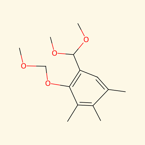 COCOc1c(C(OC)OC)cc(C)c(C)c1C